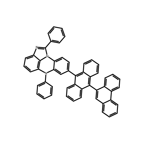 c1ccc(-c2nc3cccc4c3n2-c2ccc(-c3c5ccccc5c(-c5cc6ccccc6c6ccccc56)c5ccccc35)cc2N4c2ccccc2)cc1